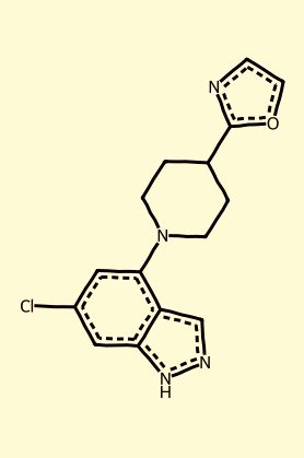 Clc1cc(N2CCC(c3ncco3)CC2)c2cn[nH]c2c1